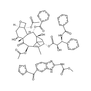 CC(=O)O[C@H]1C(=O)[C@@]2(C)[C@H]([C@H](OC(=O)c3ccccc3)[C@]3(O)C[C@H](OC(=O)[C@H](O)[C@@H](NC(=O)c4ccccc4)c4ccccc4)C(C)=C1C3(C)C)[C@]1(OC(C)=O)CO[C@@H]1C[C@@H]2O.COC(=O)Nc1nc2ccc(C(=O)c3cccs3)cc2[nH]1